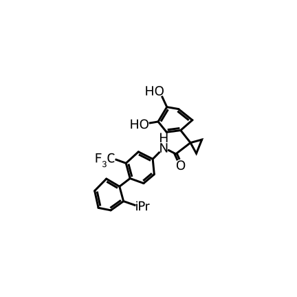 CC(C)c1ccccc1-c1ccc(NC(=O)C2(c3ccc(O)c(O)c3)CC2)cc1C(F)(F)F